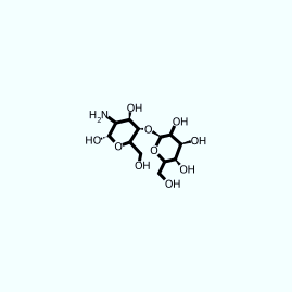 NC1[C@@H](O)[C@H](O[C@@H]2OC(CO)[C@H](O)[C@H](O)C2O)C(CO)O[C@@H]1O